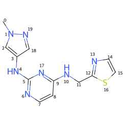 Cn1cc(Nc2nccc(NCc3nccs3)n2)cn1